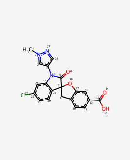 Cn1cc(N2C(=O)C3(Cc4ccc(C(=O)O)cc4O3)c3ccc(Cl)cc32)cn1